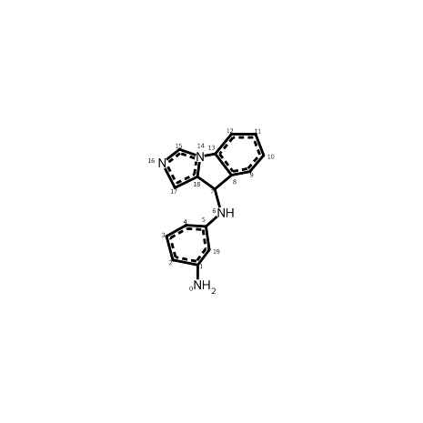 Nc1cccc(NC2c3ccccc3-n3cncc32)c1